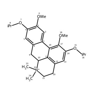 COc1cc2c(cc1OC(C)C)CC1c3c(cc(OC(C)C)c(OC)c3-2)CC[N+]1(C)C